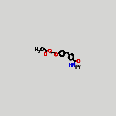 C=CC(=O)OCCOc1ccc(Cc2ccc(C(=O)NC(C)C)cc2)cc1